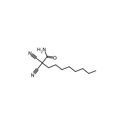 CCCCCCCCC(C#N)(C#N)C(N)=O